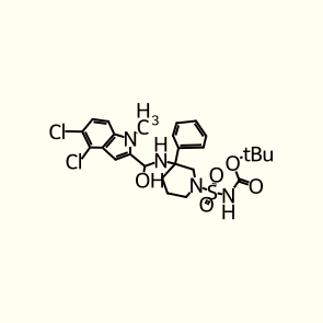 Cn1c(C(O)NC2(c3ccccc3)CCCN(S(=O)(=O)NC(=O)OC(C)(C)C)C2)cc2c(Cl)c(Cl)ccc21